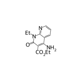 CCOC(=O)c1c(N)c2cccnc2n(CC)c1=O